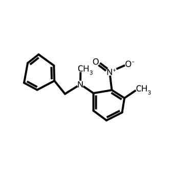 Cc1cccc(N(C)Cc2ccccc2)c1[N+](=O)[O-]